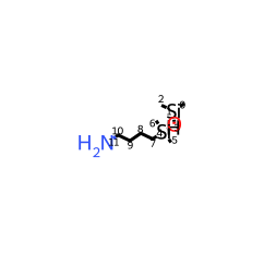 C[SiH](C)O[Si](C)(C)CCCCN